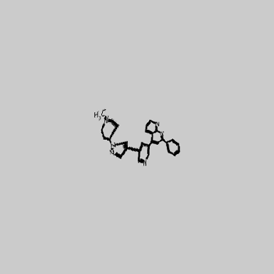 CN1CCC(n2cc(-c3cncc(-c4cc(-c5ccccc5)nc5ncccc45)c3)cn2)CC1